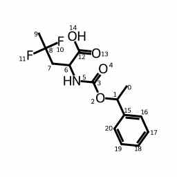 CC(OC(=O)NC(CC(C)(F)F)C(=O)O)c1ccccc1